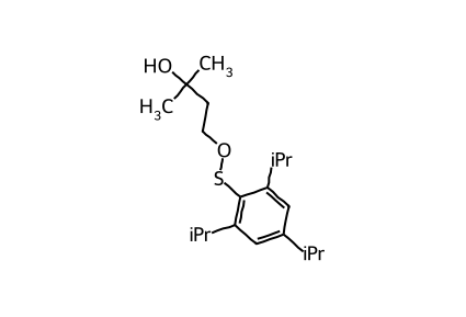 CC(C)c1cc(C(C)C)c(SOCCC(C)(C)O)c(C(C)C)c1